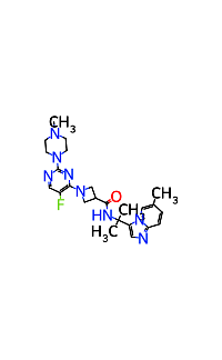 Cc1ccc2ncc(C(C)(C)NC(=O)C3CN(c4nc(N5CCN(C)CC5)ncc4F)C3)n2c1